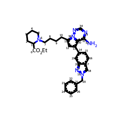 CCOC(=O)C1CCCCN1CCCCc1cc(-c2ccc3cn(Cc4ccccc4)nc3c2)c2c(N)ncnn12